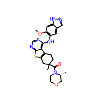 COc1cc2[nH]ncc2cc1Nc1ncnc2sc3c(c12)CCC(C)(C(=O)N1CCOC[C@H]1C)C3